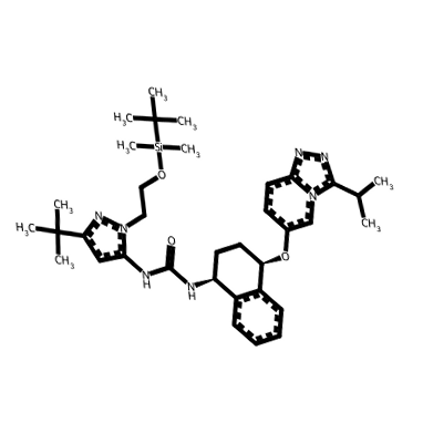 CC(C)c1nnc2ccc(O[C@@H]3CC[C@H](NC(=O)Nc4cc(C(C)(C)C)nn4CCO[Si](C)(C)C(C)(C)C)c4ccccc43)cn12